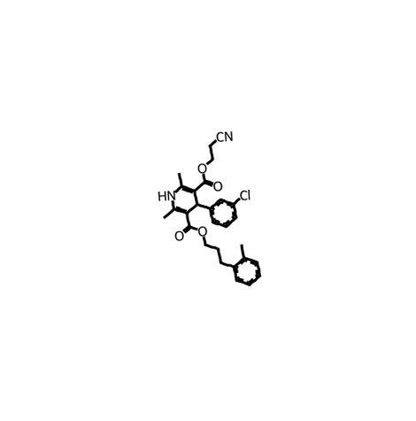 CC1=C(C(=O)OCCC#N)C(c2cccc(Cl)c2)C(C(=O)OCCCc2ccccc2C)=C(C)N1